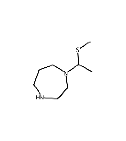 CSC(C)N1CCCNCC1